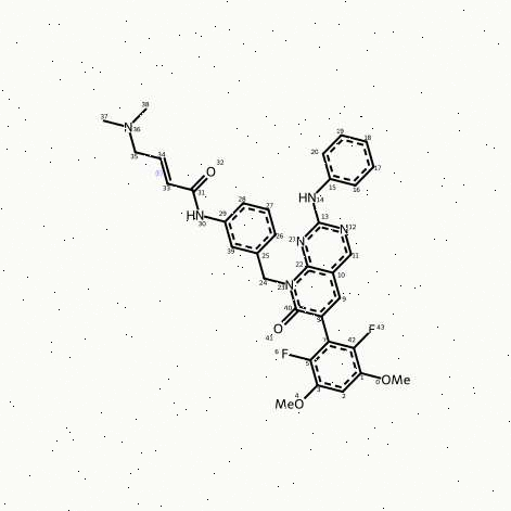 COc1cc(OC)c(F)c(-c2cc3cnc(Nc4ccccc4)nc3n(Cc3cccc(NC(=O)/C=C/CN(C)C)c3)c2=O)c1F